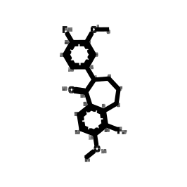 COc1cc(C2CCCc3c(ccc(OC)c3F)C2=O)ccc1F